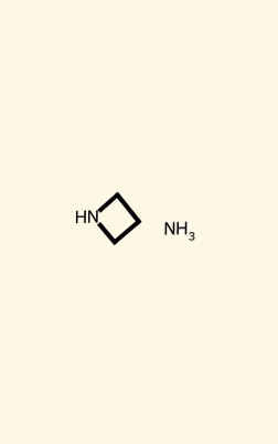 C1CNC1.N